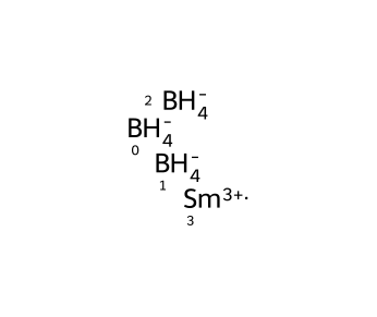 [BH4-].[BH4-].[BH4-].[Sm+3]